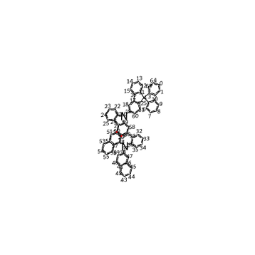 c1ccc(C2(c3ccccc3)c3ccccc3-c3cc(-n4c5ccccc5c5ccc(-c6ccccc6N(c6ccc7ccccc7c6)c6cccc7ccccc67)cc54)ccc32)cc1